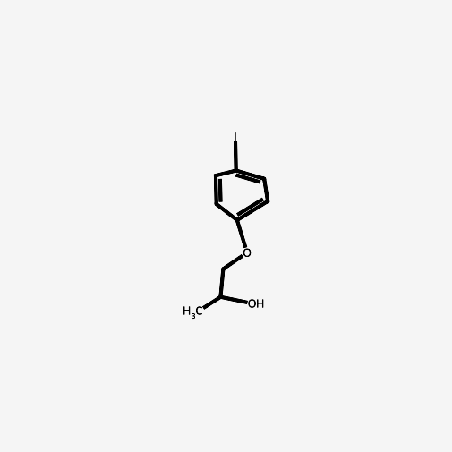 CC(O)COc1ccc(I)cc1